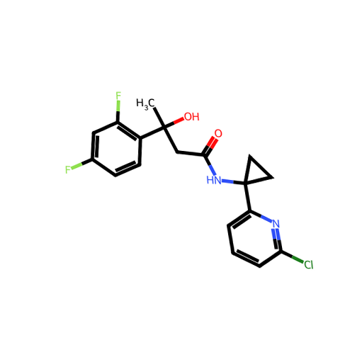 CC(O)(CC(=O)NC1(c2cccc(Cl)n2)CC1)c1ccc(F)cc1F